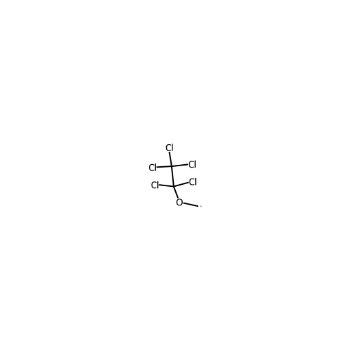 [CH2]OC(Cl)(Cl)C(Cl)(Cl)Cl